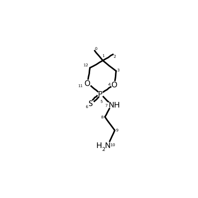 CC1(C)COP(=S)(NCCN)OC1